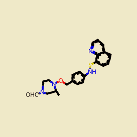 CC1CN(C=O)CCN1OCc1ccc(NSc2cccc3cccnc23)cc1